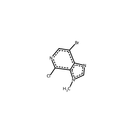 Cn1cnc2c(Br)cnc(Cl)c21